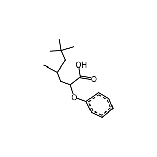 CC(CC(Oc1ccccc1)C(=O)O)CC(C)(C)C